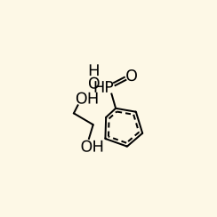 O=[PH](O)c1ccccc1.OCCO